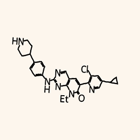 CCn1c(=O)c(-c2ncc(C3CC3)cc2Cl)cc2cnc(Nc3ccc(C4CCNCC4)cc3)nc21